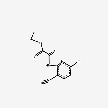 CCOC(=O)C(=O)Nc1nc(Cl)ccc1C#N